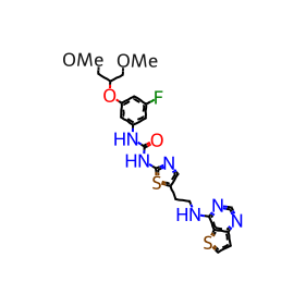 COCC(COC)Oc1cc(F)cc(NC(=O)Nc2ncc(CCNc3ncnc4ccsc34)s2)c1